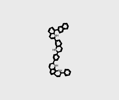 C1=CC2=CC=C(c3ccc4c(c3)NC(c3ccc(C5C=Cc6ccc7c(c6N5)NC(c5ccccc5)C=C7)cc3)C=C4)NC2C(c2ccc3ccccc3c2)=C1